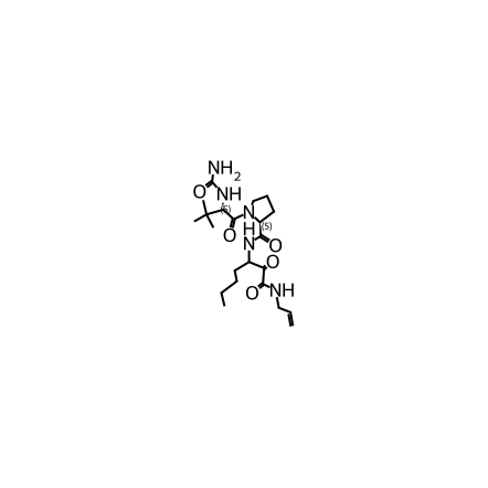 C=CCNC(=O)C(=O)C(CCCC)NC(=O)[C@@H]1CCCN1C(=O)[C@@H](NC(N)=O)C(C)(C)C